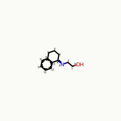 OCC/N=C1\CCCc2ccccc21